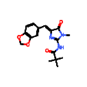 CN1C(=O)C(=Cc2ccc3c(c2)OCO3)N=C1NC(=O)C(C)(C)C